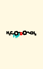 CCCc1ccc(OCC2=CC=C(CC)C(F)(F)C2(F)F)cc1